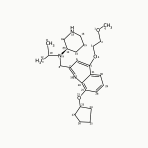 COCCOc1cc(CN(C(C)C)[C@@H]2CCCNC2)nc2c(OC3CCCC3)cccc12